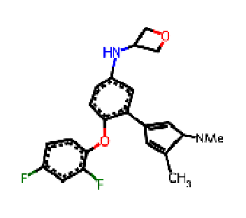 CNC1C=C(c2cc(NC3COC3)ccc2Oc2ccc(F)cc2F)C=C1C